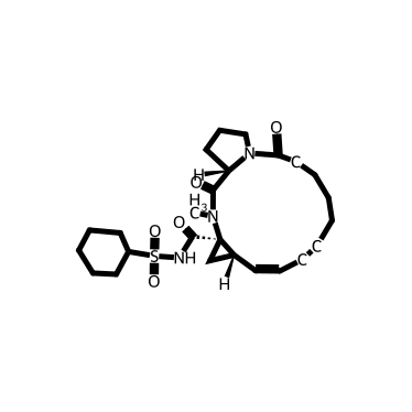 CN1C(=O)[C@@H]2CCCN2C(=O)CCCCCC/C=C\[C@@H]2C[C@]21C(=O)NS(=O)(=O)C1CCCCC1